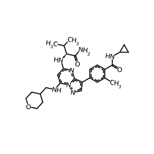 Cc1cc(-c2cnn3c(NCC4CCOCC4)cc(N[C@H](C(N)=O)C(C)C)nc23)ccc1C(=O)NC1CC1